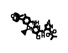 Cc1cc(Nc2ncc(Cl)c(Nc3cn(C)nc3S(=O)(=O)C(C)C)n2)c(OC2CC2)cc1C1CC2CN(C)CC1CO2